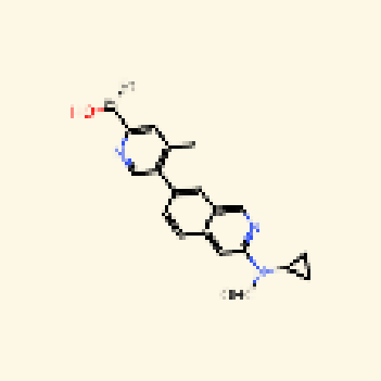 CC[C@@H](O)c1cc(C)c(-c2ccc3cc(N(C=O)C4CC4)ncc3c2)cn1